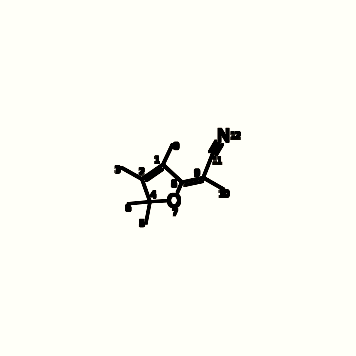 CC1=C(C)C(C)(C)O/C1=C(\C)C#N